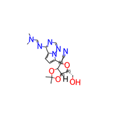 CN(C)C=Nc1ncnn2c([C@]3(C#N)O[C@H](CO)[C@H]4OC(C)(C)OC43)ccc12